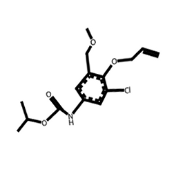 C=CCOc1c(Cl)cc(NC(=O)OC(C)C)cc1COC